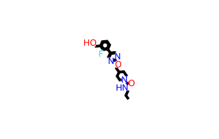 CCCNC(=O)N1CCC(COc2ncc(-c3cccc(CO)c3F)cn2)CC1